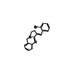 Brc1ccccc1C=C1CCN2Cc3ccccc3N=C12